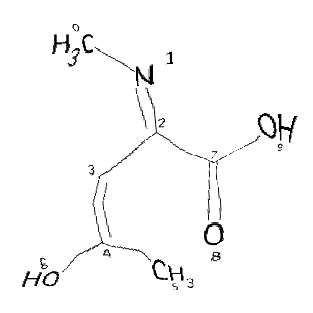 C/N=C(\C=C(/C)O)C(=O)O